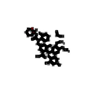 COc1ccc([C@H](Cc2c(Cl)c[n+]([O-])cc2Cl)c2c(Br)cc(CN(C(=O)O[C@H]3CN4CCC3CC4)c3ccccc3F)cc2C(=O)O)cc1OC.O=CO